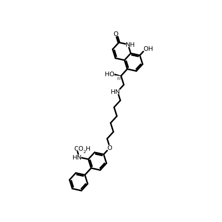 O=C(O)Nc1cc(OCCCCCCNC[C@@H](O)c2ccc(O)c3[nH]c(=O)ccc23)ccc1-c1ccccc1